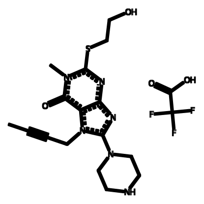 CC#CCn1c(N2CCNCC2)nc2nc(SCCO)n(C)c(=O)c21.O=C(O)C(F)(F)F